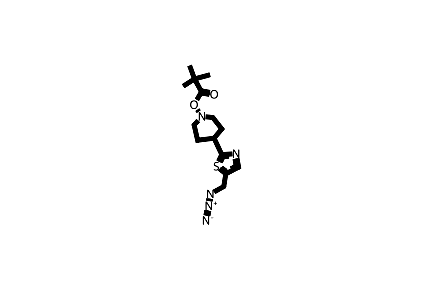 CC(C)(C)C(=O)ON1CCC(c2ncc(CN=[N+]=[N-])s2)CC1